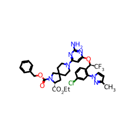 CCOC(=O)[C@H]1CC2(CCN(c3cc(O[C@H](c4ccc(Cl)cc4-n4ccc(C)n4)C(F)(F)F)nc(N)n3)CC2)CN1C(=O)OCc1ccccc1